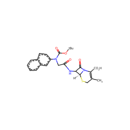 CC1=C(C(=O)O)N2C(=O)C(NC(=O)CN(C(=O)OC(C)(C)C)c3ccc4ccccc4c3)[C@@H]2SC1